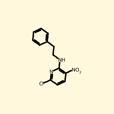 O=[N+]([O-])c1ccc(Cl)nc1NCCc1ccccc1